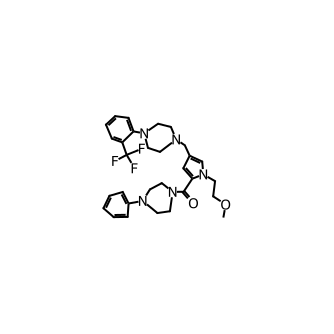 COCCn1cc(CN2CCN(c3ccccc3C(F)(F)F)CC2)cc1C(=O)N1CCN(c2ccccc2)CC1